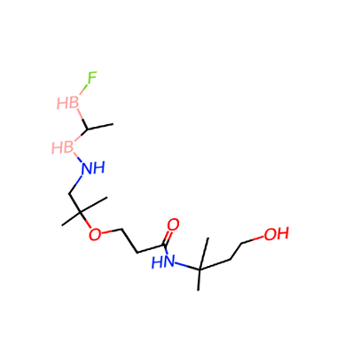 CC(BF)BNCC(C)(C)OCCC(=O)NC(C)(C)CCO